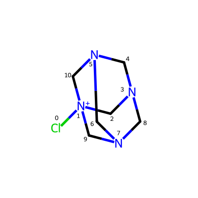 Cl[N+]12CN3CN(CN(C3)C1)C2